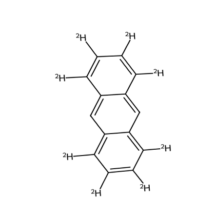 [2H]c1c([2H])c([2H])c2cc3c([2H])c([2H])c([2H])c([2H])c3cc2c1[2H]